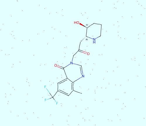 Cc1cc(C(F)(F)F)cc2c(=O)n(CC(=O)C[C@H]3NCCC[C@@H]3O)cnc12